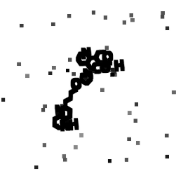 CC1(C)CC(c2ncccc2C(C(=O)O)N2CC[C@@H](OCCCCc3ccc4c(n3)CCCN4)C2)CCO1